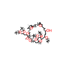 C=C1C2CC3OC(CC(CO[Si](C)(C)C(C)(C)C)O[Si](C)(C)C(C)(C)C)[C@H](OC)[C@H]3CC(=O)C[C@H]3CC[C@@H]4OC(C(O[Si](C)(C)C(C)(C)C)/C=C/C(O)CCC5CC(=C)[C@H](CC[C@@H](C[C@H]1C)O2)O5)C(O[Si](C)(C)C(C)(C)C)C(O[Si](C)(C)C(C)(C)C)C4O3